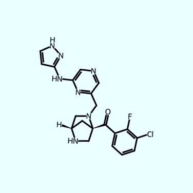 O=C(c1cccc(Cl)c1F)[C@]12CN[C@H](CN1Cc1cncc(Nc3cc[nH]n3)n1)C2